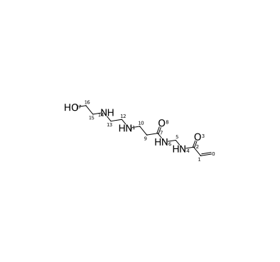 C=CC(=O)NCNC(=O)CCNCCNCCO